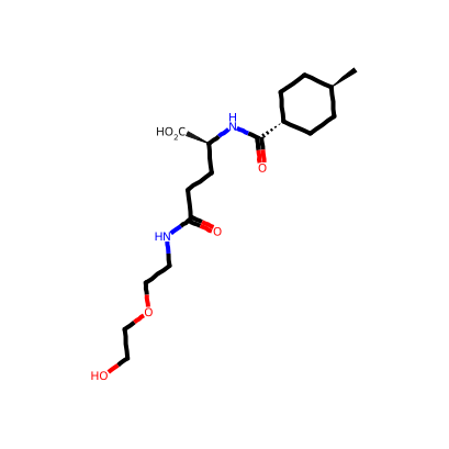 C[C@H]1CC[C@H](C(=O)N[C@@H](CCC(=O)NCCOCCO)C(=O)O)CC1